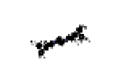 CC(C)(C)c1ccc(N(c2ccc(C(C)(C)C)cc2)c2ccc3c(c2)C(C)(C)c2cc(/C=C/c4cccc5c(/C=C/c6ccc7c(c6)C(C)(C)c6cc(N(c8ccc(C(C)(C)C)cc8)c8ccc(C(C)(C)C)cc8)ccc6-7)cccc45)ccc2-3)cc1